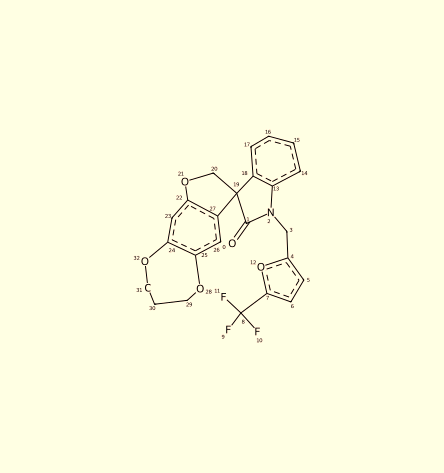 O=C1N(Cc2ccc(C(F)(F)F)o2)c2ccccc2C12COc1cc3c(cc12)OCCCO3